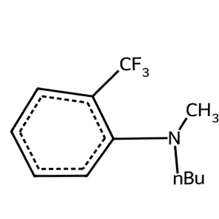 [CH2]CCCN(C)c1ccccc1C(F)(F)F